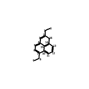 CCC1=Cc2ccc(CC)c3cccc(c23)C1